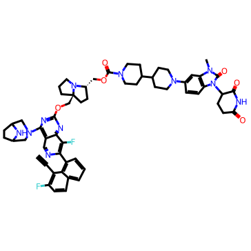 C#Cc1c(F)ccc2cccc(-c3ncc4c(N5CC6CCC(C5)N6)nc(OC[C@@]56CCCN5[C@H](COC(=O)N5CCC(C7CCN(c8ccc9c(c8)n(C)c(=O)n9C8CCC(=O)NC8=O)CC7)CC5)CC6)nc4c3F)c12